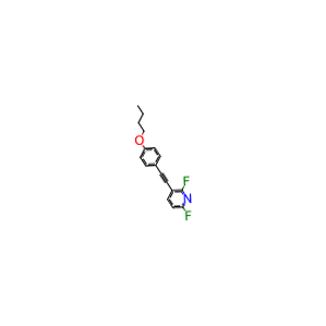 CCCCOc1ccc(C#Cc2ccc(F)nc2F)cc1